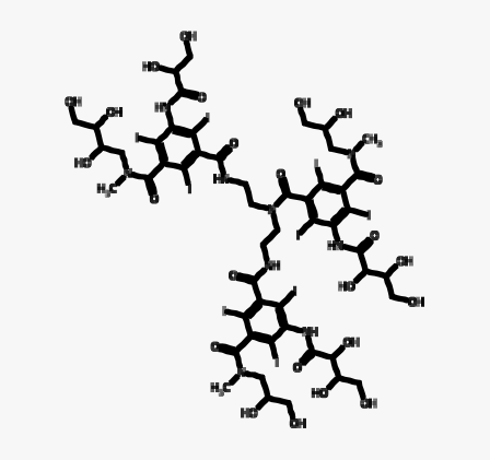 CN(CC(O)C(O)CO)C(=O)c1c(I)c(NC(=O)C(O)CO)c(I)c(C(=O)NCCN(CCNC(=O)c2c(I)c(NC(=O)C(O)C(O)CO)c(I)c(C(=O)N(C)CC(O)CO)c2I)C(=O)c2c(I)c(NC(=O)C(O)C(O)CO)c(I)c(C(=O)N(C)CC(O)CO)c2I)c1I